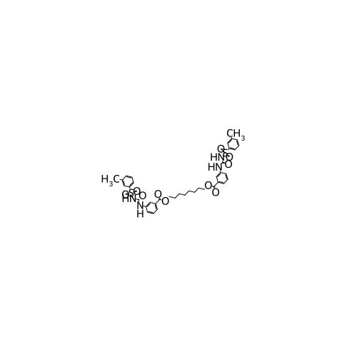 Cc1cccc(S(=O)(=O)NC(=O)Nc2cccc(C(=O)OCCCCCCCCOC(=O)c3cccc(NC(=O)NS(=O)(=O)c4cccc(C)c4)c3)c2)c1